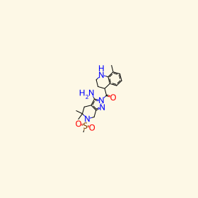 Cc1cccc2c1NCCC2C(=O)n1nc2c(c1N)CC(C)(C)N(S(C)(=O)=O)C2